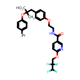 CC(C)c1ccc(OC(C)(Cc2ccc(OCCNC(=O)c3ccc(OCC(F)(F)C(F)F)nc3)cc2)C(=O)O)cc1